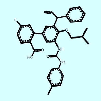 C=CC(c1ccccc1)c1cc(-c2cc(F)ccc2C(=O)O)cc(NC(=O)Nc2ccc(C)cc2)c1OCC(C)C